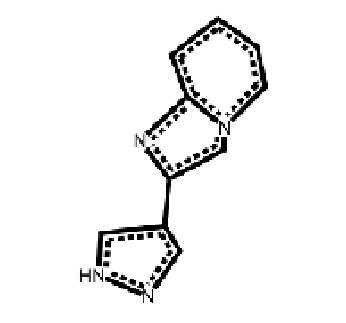 c1ccn2cc(-c3cn[nH]c3)nc2c1